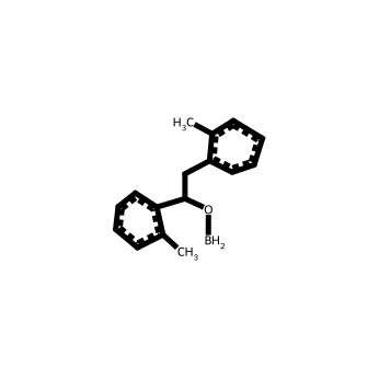 BOC(Cc1ccccc1C)c1ccccc1C